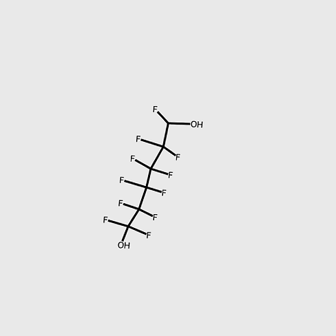 OC(F)C(F)(F)C(F)(F)C(F)(F)C(F)(F)C(O)(F)F